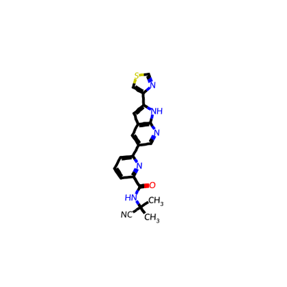 CC(C)(C#N)NC(=O)c1cccc(-c2cnc3[nH]c(-c4cscn4)cc3c2)n1